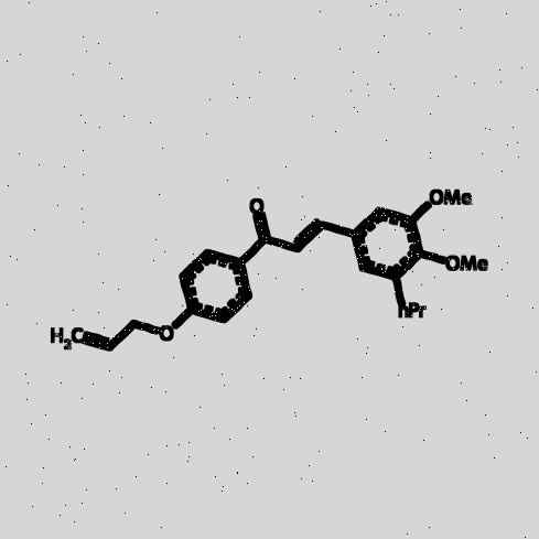 C=CCOc1ccc(C(=O)C=Cc2cc(CCC)c(OC)c(OC)c2)cc1